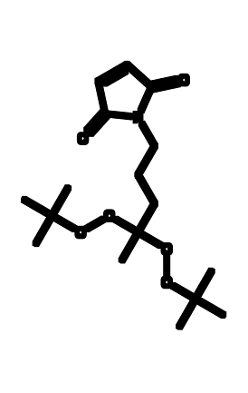 CC(C)(C)OOC(C)(CCCN1C(=O)C=CC1=O)OOC(C)(C)C